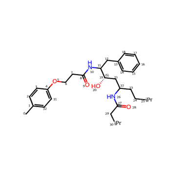 Cc1ccc(OCCC(=O)NC(Cc2ccccc2)[C@@H](O)CC(CCC(C)C)NC(=O)CC(C)C)cc1